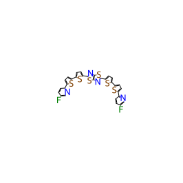 Fc1ccc(-c2ccc(-c3ccc(-c4nc5sc(-c6ccc(-c7ccc(-c8ccc(F)cn8)s7)s6)nc5s4)s3)s2)nc1